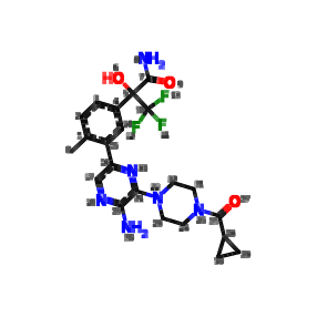 Cc1ccc(C(O)(C(N)=O)C(F)(F)F)cc1-c1cnc(N)c(N2CCN(C(=O)C3CC3)CC2)n1